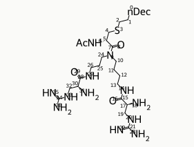 CCCCCCCCCCCCSC[C@@H](NC(C)=O)C(=O)N(CCCCNC(=O)[C@@H](N)CNC(=N)N)CCCNC(=O)[C@@H](N)CNC(=N)N